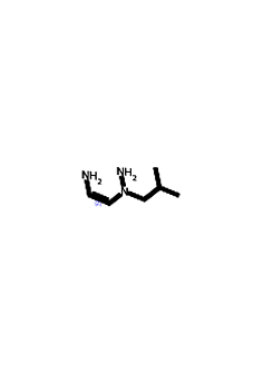 CC(C)CN(N)/C=C\N